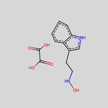 O=C(O)C(=O)O.ONCCc1c[nH]c2ccccc12